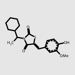 COc1cc(/C=C2\SC(=O)N(C(C)C3CCCCC3)C2=O)ccc1O